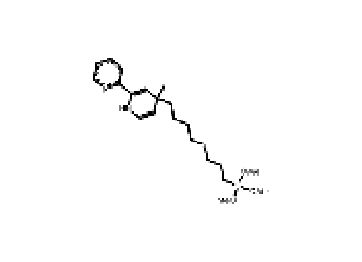 CO[Si](CCCSCCCCC1(C)C=CNC(c2ccccn2)=C1)(OC)OC